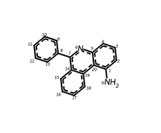 Nc1cccc2nc(-c3ccccc3)c3ccccc3c12